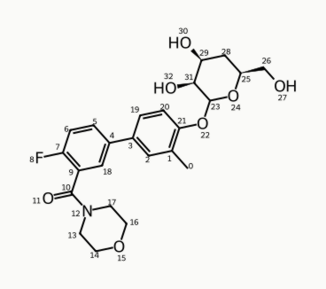 Cc1cc(-c2ccc(F)c(C(=O)N3CCOCC3)c2)ccc1OC1O[C@H](CO)C[C@H](O)[C@@H]1O